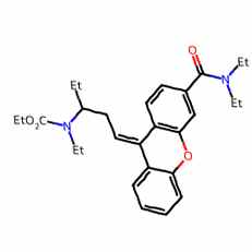 CCOC(=O)N(CC)C(CC)C/C=C1/c2ccccc2Oc2cc(C(=O)N(CC)CC)ccc21